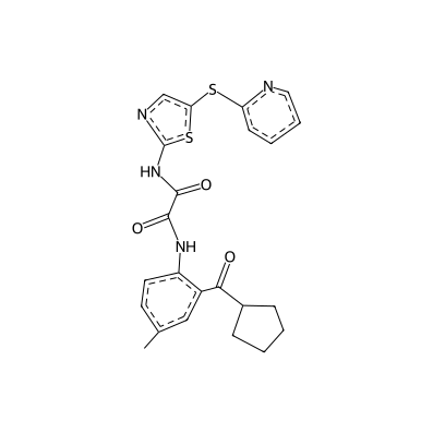 Cc1ccc(NC(=O)C(=O)Nc2ncc(Sc3ccccn3)s2)c(C(=O)C2CCCC2)c1